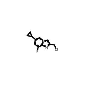 Fc1cc(C2CC2)cn2cc(CCl)nc12